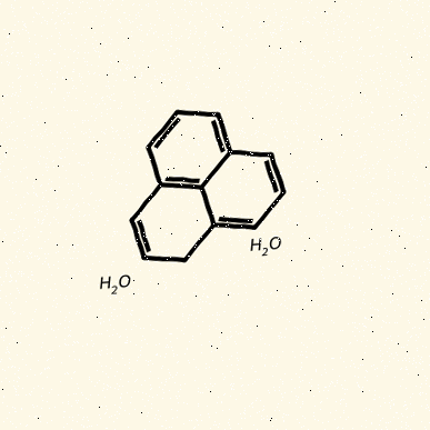 C1=Cc2cccc3cccc(c23)C1.O.O